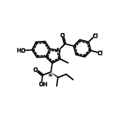 CCC(C)[C@H](C(=O)O)c1c(C)n(C(=O)c2ccc(Cl)c(Cl)c2)c2ccc(O)cc12